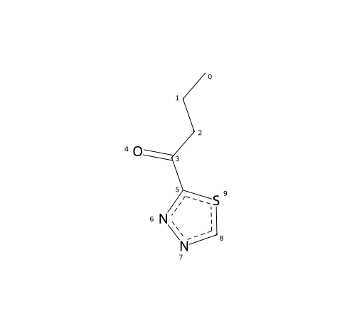 CCCC(=O)c1nncs1